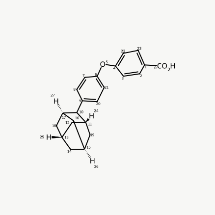 O=C(O)c1ccc(Oc2ccc(C3[C@H]4C[C@@H]5C[C@@H](C[C@H]3C5)C4)cc2)cc1